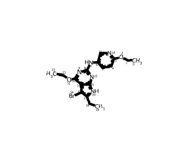 CCOc1ccc(Nc2nc(OCC)c3c(Br)c(CC)[nH]c3n2)cn1